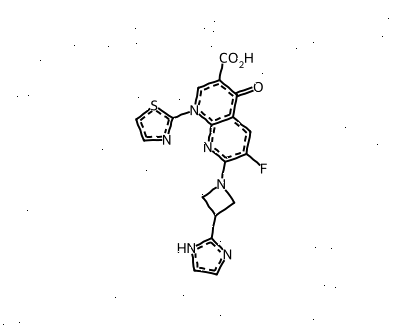 O=C(O)c1cn(-c2nccs2)c2nc(N3CC(c4ncc[nH]4)C3)c(F)cc2c1=O